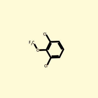 FC(F)(F)Oc1c(Cl)cccc1Cl